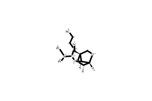 [2H]C[C@]12CO[C@H]([C@H](C)O1)[C@@]2(C)OP(OCCC#N)N(C(C)C)C(C)C